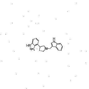 c1ccc2c(CN3CCC(c4cccc5[nH]nnc45)C3)c[nH]c2c1